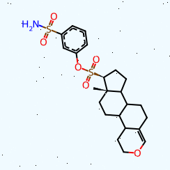 C[C@]12CCC3C4CCOC=C4CCC3C1CC[C@@H]2S(=O)(=O)Oc1cccc(S(N)(=O)=O)c1